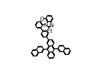 CCc1nc2cccc3c2n1-c1c(cccc1-c1ccc(-c2ccc4c(-c5ccc6ccccc6c5)c5ccccc5c(-c5ccc6ccccc6c5)c4c2)cc1)O3